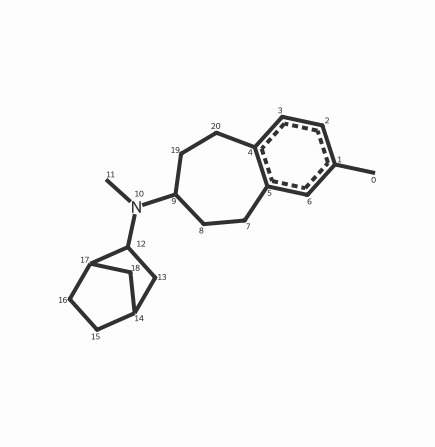 Cc1ccc2c(c1)CCC(N(C)C1CC3CCC1C3)CC2